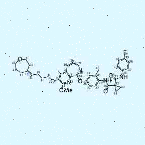 COc1nc2c(cc1OCCC/C=C1/CCCOCC1)C=C=CN=C2Oc1ccc(NC(=O)C2(C(=O)Nc3ccc(F)cc3)CC2)c(C)c1